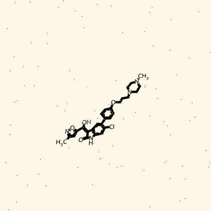 Cc1cc(C(O)=C2C(=O)Nc3cc(Cl)c(-c4ccc(OCCCN5CCN(C)CC5)cc4)cc32)on1